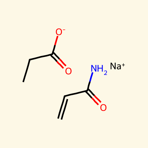 C=CC(N)=O.CCC(=O)[O-].[Na+]